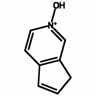 O[n+]1ccc2c(c1)CC=C2